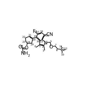 Cc1c(C)n(COCC[Si](C)(C)C)c2c(C#N)cc(F)c(C3=CCCC(OC(N)=O)C3)c12